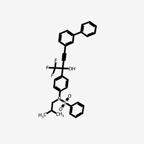 CC(C)CN(c1ccc(C(O)(C#Cc2cccc(-c3ccccc3)c2)C(F)(F)F)cc1)S(=O)(=O)c1ccccc1